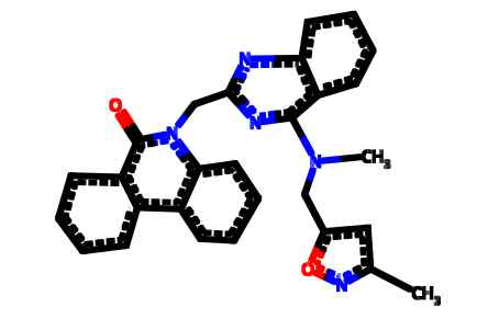 Cc1cc(CN(C)c2nc(Cn3c(=O)c4ccccc4c4ccccc43)nc3ccccc23)on1